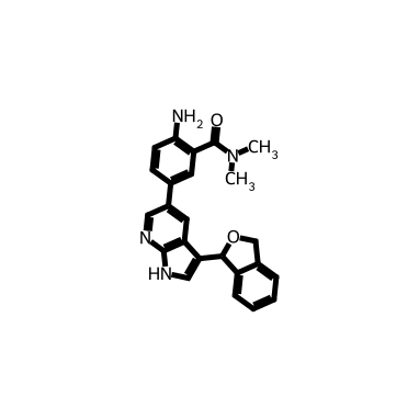 CN(C)C(=O)c1cc(-c2cnc3[nH]cc(C4OCc5ccccc54)c3c2)ccc1N